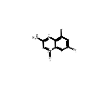 Cc1cc(Br)cc2c1nc(N)c[n+]2[O-]